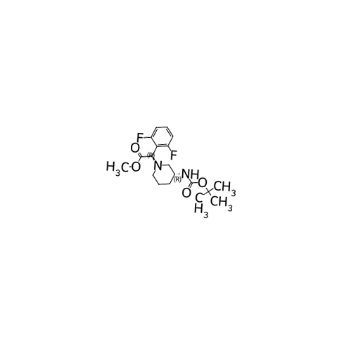 COC(=O)[C@@H](c1c(F)cccc1F)N1CCC[C@@H](NC(=O)OC(C)(C)C)C1